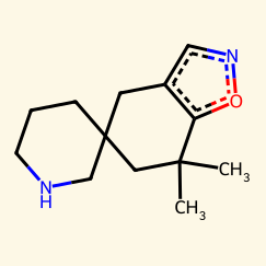 CC1(C)CC2(CCCNC2)Cc2cnoc21